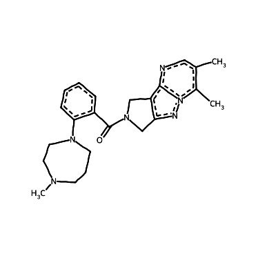 Cc1cnc2c3c(nn2c1C)CN(C(=O)c1ccccc1N1CCCN(C)CC1)C3